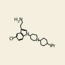 CC(C)C1CCC(N2CCC(n3cc(CCN)c4cc(Cl)ccc43)CC2)CC1